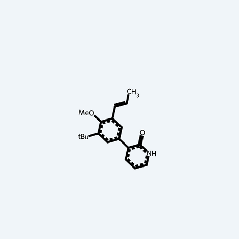 C/C=C/c1cc(-c2ccc[nH]c2=O)cc(C(C)(C)C)c1OC